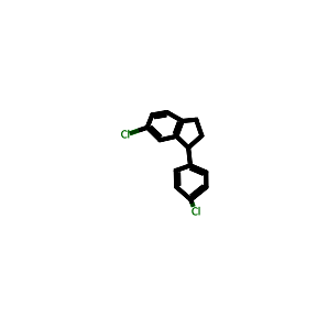 Clc1ccc(C2CCc3ccc(Cl)cc32)cc1